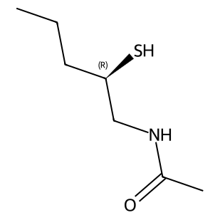 CCC[C@@H](S)CNC(C)=O